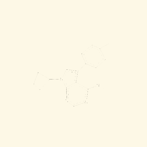 Nc1ncnc2c1c(-c1ccc(Cl)cc1)cn2C1CCC1